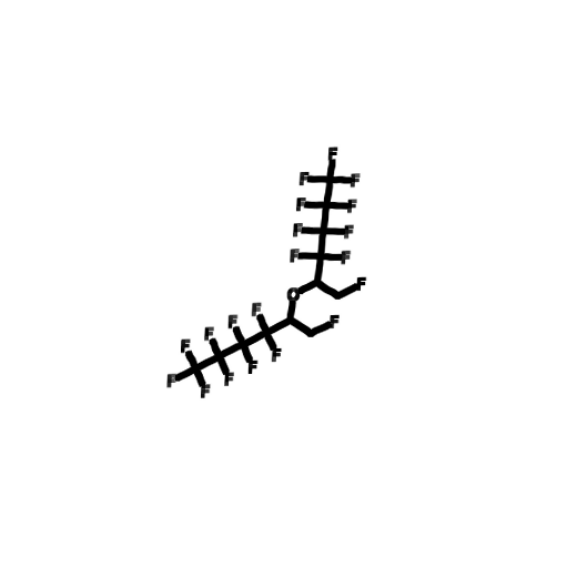 FCC(OC(CF)C(F)(F)C(F)(F)C(F)(F)C(F)(F)F)C(F)(F)C(F)(F)C(F)(F)C(F)(F)F